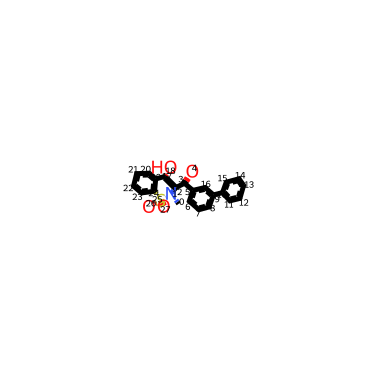 CN1C(C(=O)c2cccc(-c3ccccc3)c2)=C(O)c2ccccc2S1(=O)=O